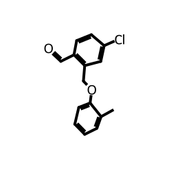 Cc1ccccc1OCc1cc(Cl)ccc1C=O